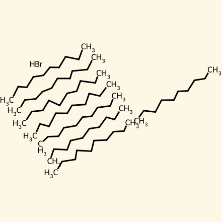 Br.CCCCCCCCCC.CCCCCCCCCC.CCCCCCCCCC.CCCCCCCCCC.CCCCCCCCCC.CCCCCCCCCC.CCCCCCCCCC.CCCCCCCCCC